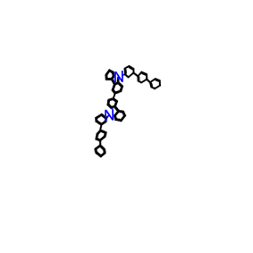 C1=CC(C2=CCC(C3=CCCC=C3)C=C2)CC(n2c3ccccc3c3cc(-c4ccc5c(c4)c4ccccc4n5-c4cccc(-c5ccc(-c6ccccc6)cc5)c4)ccc32)=C1